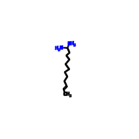 CC=CCCCCCCCCC(N)N